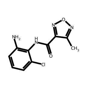 Cc1nonc1C(=O)Nc1c(N)cccc1Cl